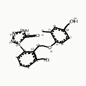 CCc1cccc(-n2nn[nH]c2=O)c1COc1ccc(O)cc1C